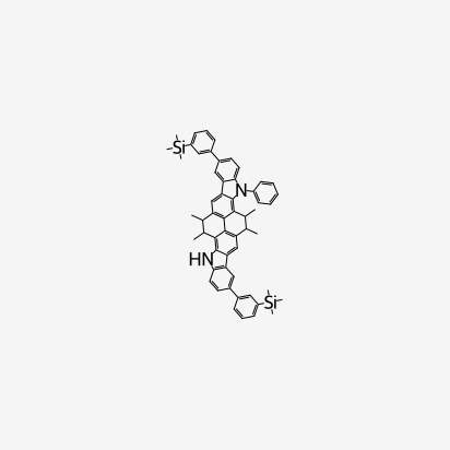 CC1c2cc3c4cc(-c5cccc([Si](C)(C)C)c5)ccc4n(-c4ccccc4)c3c3c2-c2c(cc4c([nH]c5ccc(-c6cccc([Si](C)(C)C)c6)cc54)c2C1C)C(C)C3C